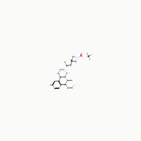 CC(C)(C)OC(=O)N1CC2(C[C@H](N3CCC(c4cc(F)ccc4C4CCOCC4)CC3)CO2)C1